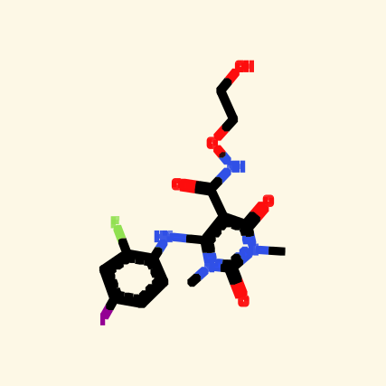 Cn1c(Nc2ccc(I)cc2F)c(C(=O)NOCCO)c(=O)n(C)c1=O